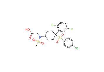 CS(=O)(=O)N(CC(=O)O)C1CCC(c2cc(F)ccc2F)(S(=O)(=O)c2ccc(Cl)cc2)CC1